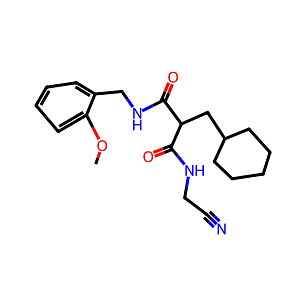 COc1ccccc1CNC(=O)C(CC1CCCCC1)C(=O)NCC#N